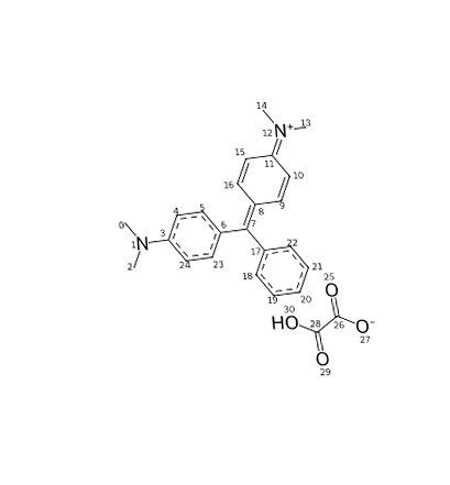 CN(C)c1ccc(C(=C2C=CC(=[N+](C)C)C=C2)c2ccccc2)cc1.O=C([O-])C(=O)O